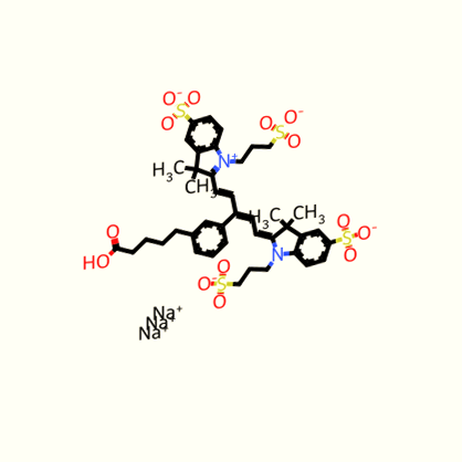 CC1(C)C(/C=C/C(=C/C=C2/N(CCCS(=O)(=O)[O-])c3ccc(S(=O)(=O)[O-])cc3C2(C)C)c2cccc(CCCCC(=O)O)c2)=[N+](CCCS(=O)(=O)[O-])c2ccc(S(=O)(=O)[O-])cc21.[Na+].[Na+].[Na+]